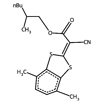 CCCCC(C)COC(=O)C(C#N)=C1Sc2c(C)ccc(C)c2S1